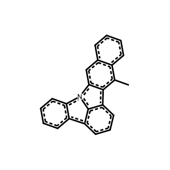 Cc1c2ccccc2cc2c1c1cccc3c4ccccc4n2c31